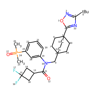 CC(C)(C)c1noc(C23CCC(CN(C(=O)C4CC(F)(F)C4)c4cccc(P(C)(C)=O)c4)(CC2)CC3)n1